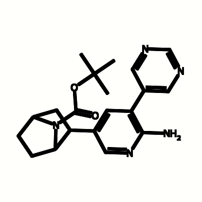 CC(C)(C)OC(=O)N1C2CCC1C(c1cnc(N)c(-c3cncnc3)c1)C2